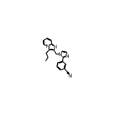 CCCc1c(Cn2ccnc2-c2cccc(C#N)c2)nc2ccccn12